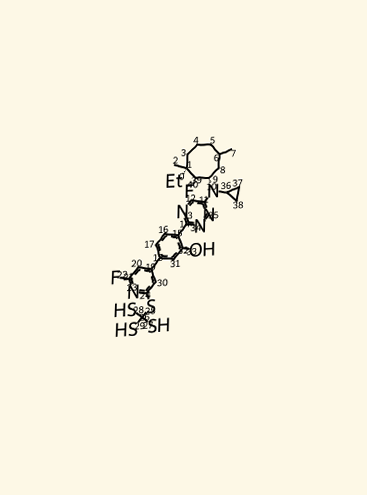 CC[C@]1(C)CCCC(C)C[C@H](N(c2cnc(-c3ccc(-c4cc(F)nc(SC(S)(S)S)c4)cc3O)nn2)C2CC2)[C@@H]1F